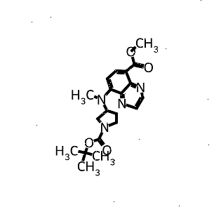 COC(=O)c1ccc(N(C)C2CCN(C(=O)OC(C)(C)C)C2)c2nccnc12